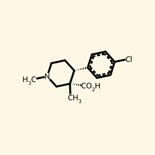 CN1CC[C@H](c2ccc(Cl)cc2)[C@](C)(C(=O)O)C1